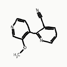 COc1cnccc1-c1ncccc1C#N